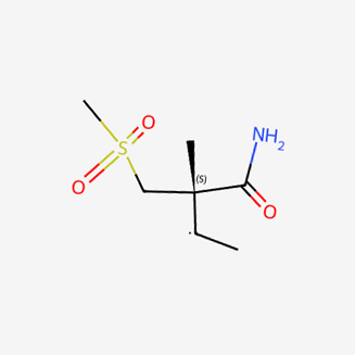 C[CH][C@](C)(CS(C)(=O)=O)C(N)=O